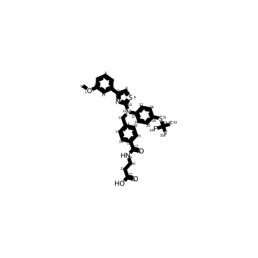 COc1cccc(-c2csc(N(Cc3ccc(C(=O)NCCC(=O)O)cc3)c3ccc(SC(F)(F)F)cc3)n2)c1